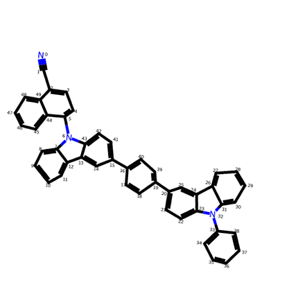 N#Cc1ccc(-n2c3ccccc3c3cc(-c4ccc(-c5ccc6c(c5)c5ccccc5n6-c5ccccc5)cc4)ccc32)c2ccccc12